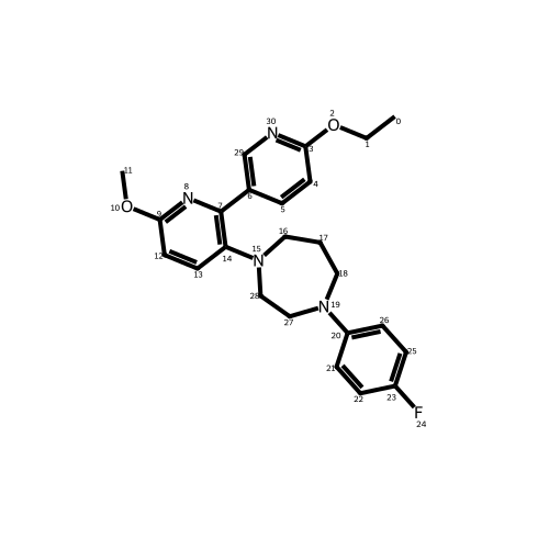 CCOc1ccc(-c2nc(OC)ccc2N2CCCN(c3ccc(F)cc3)CC2)cn1